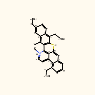 Cc1c2c(c(CC(C)(C)C)c3ccc(CC(C)(C)C)cc13)Sc1cc3cccc(CC(C)(C)C)c3c3cc[n+](C)c-2c13